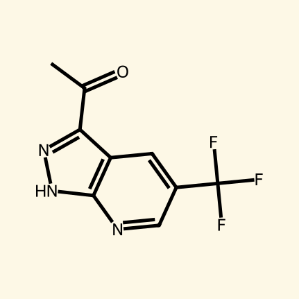 CC(=O)c1n[nH]c2ncc(C(F)(F)F)cc12